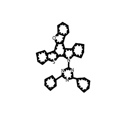 c1ccc(-c2nc(-c3ccccc3)nc(-n3c4ccccc4c4c5c6ccccc6oc5c5c6ccccc6sc5c43)n2)cc1